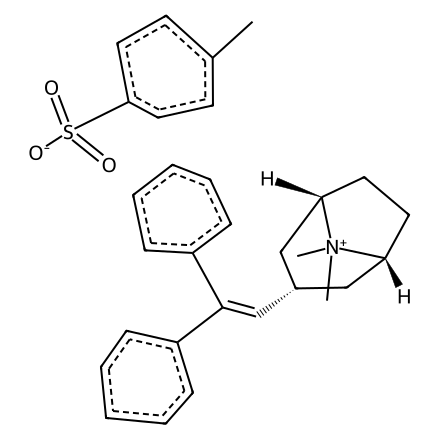 C[N+]1(C)[C@@H]2CC[C@H]1C[C@@H](C=C(c1ccccc1)c1ccccc1)C2.Cc1ccc(S(=O)(=O)[O-])cc1